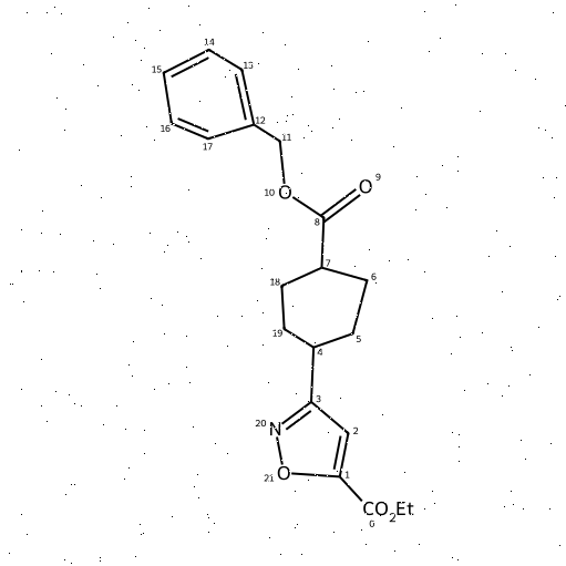 CCOC(=O)c1cc(C2CCC(C(=O)OCc3ccccc3)CC2)no1